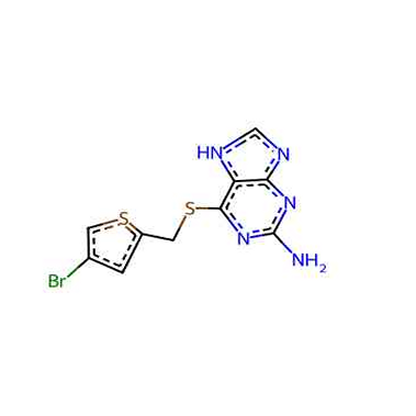 Nc1nc(SCc2cc(Br)cs2)c2[nH]cnc2n1